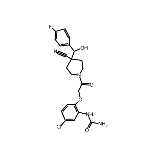 N#CC1(C(O)c2ccc(F)cc2)CCN(C(=O)COc2ccc(Cl)cc2NC(N)=O)CC1